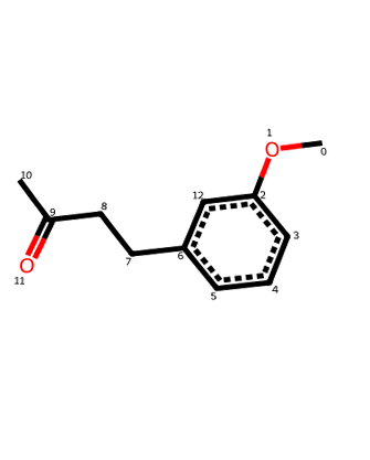 COc1cccc(CCC(C)=O)c1